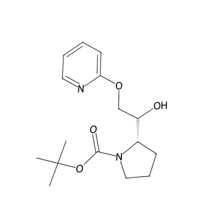 CC(C)(C)OC(=O)N1CCC[C@H]1C(O)COc1ccccn1